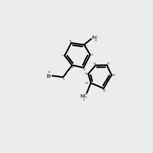 CC(=O)c1ccc(CBr)cc1.N#Cc1ccccc1